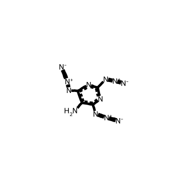 [N-]=[N+]=Nc1nc(N=[N+]=[N-])c(N)c(N=[N+]=[N-])n1